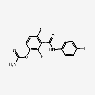 NC(=O)Oc1ccc(Cl)c(C(=O)Nc2ccc(F)cc2)c1F